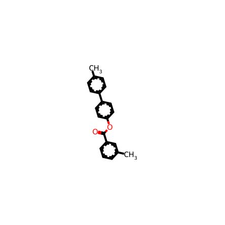 Cc1ccc(-c2ccc(OC(=O)c3cccc(C)c3)cc2)cc1